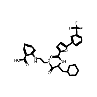 O=C(NC(CC1CCCCC1)C(=O)NCCNc1ccccc1C(=O)O)c1ccc(-c2cccc(C(F)(F)F)c2)o1